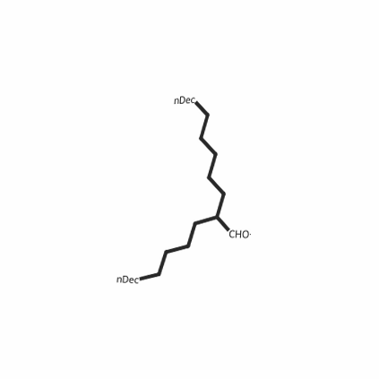 CCCCCCCCCCCCCCCC([C]=O)CCCCCCCCCCCCCC